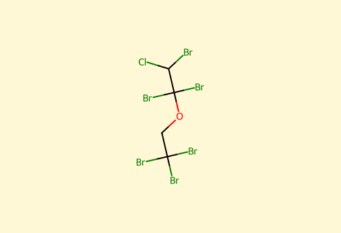 ClC(Br)C(Br)(Br)OCC(Br)(Br)Br